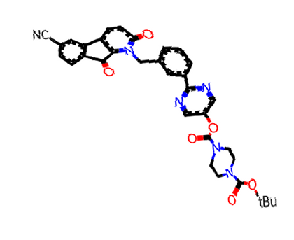 CC(C)(C)OC(=O)N1CCN(C(=O)Oc2cnc(-c3cccc(Cn4c5c(ccc4=O)-c4cc(C#N)ccc4C5=O)c3)nc2)CC1